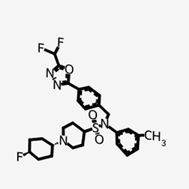 Cc1cccc(N(Cc2ccc(-c3nnc(C(F)F)o3)cc2)S(=O)(=O)C2CCN([C@H]3CC[C@H](F)CC3)CC2)c1